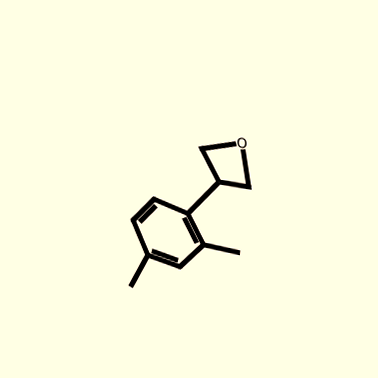 Cc1ccc(C2COC2)c(C)c1